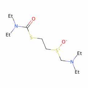 CCN(CC)C[S+]([O-])CCSC(=O)N(CC)CC